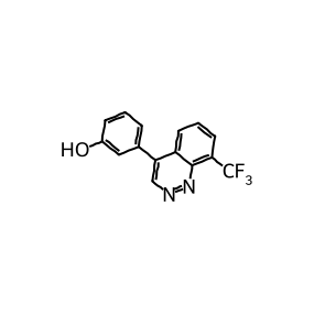 Oc1cccc(-c2cnnc3c(C(F)(F)F)cccc23)c1